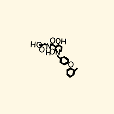 Cc1ccccc1Oc1ccc(CN2CCC(O)=C(C(=O)NCC(=O)O)C2=O)cc1